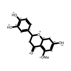 COC1=C2C(=O)CC(c3ccc(O)c(O)c3)OC2CC(O)=C1